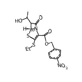 CCSC1=C(C(=O)OCc2ccc([N+](=O)[O-])cc2)N2C(=O)C(C(C)O)[C@H]2S1